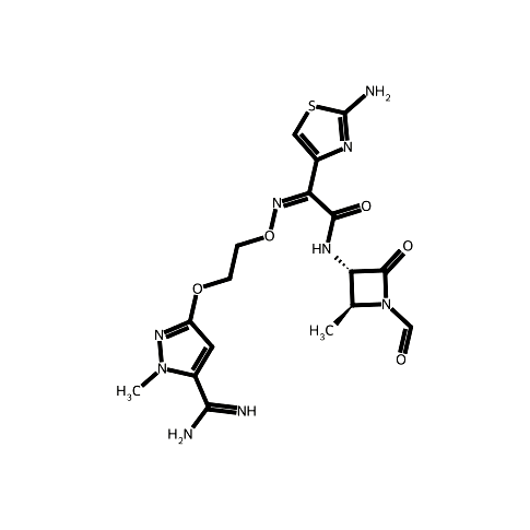 C[C@H]1[C@H](NC(=O)/C(=N\OCCOc2cc(C(=N)N)n(C)n2)c2csc(N)n2)C(=O)N1C=O